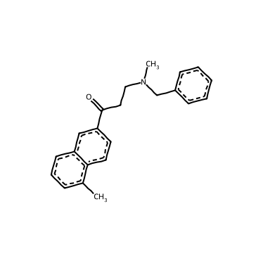 Cc1cccc2cc(C(=O)CCN(C)Cc3ccccc3)ccc12